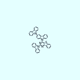 c1ccc2c(c1)sc1c(-n3c4ccccc4c4cc(-n5c6ccccc6c6ccccc65)ccc43)nc(-n3c4ccccc4c4ccccc43)nc12